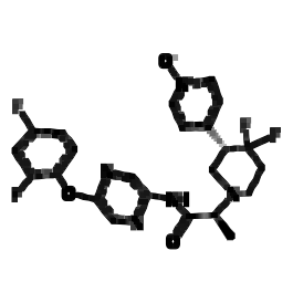 C[C@@H](C(=O)Nc1cnc(Oc2ccc(F)cc2F)cn1)N1CCC(F)(F)[C@@H](c2cc[n+]([O-])cc2)C1